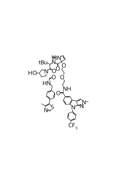 Cc1ncsc1-c1ccc(CNC(=O)[C@@H]2C[C@@H](O)CN2C(=O)C(NC(=O)C2(OCCOCCNC(=O)c3ccc4c(c3)c3cn(C)nc3n4-c3ccc(C(F)(F)F)cc3)C=CN2)C(C)(C)C)cc1